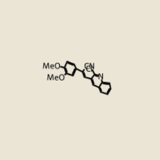 COc1ccc(/C(C#N)=C/c2cc3ccccc3nc2Cl)cc1OC